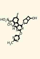 Cc1ncc(Oc2nc(N3CC4CC(O)C4C3)c3c(n2)[nH]c2c(N(C)C(=O)O)cc(F)cc23)cn1